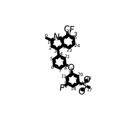 Cc1cc(-c2cccc(Oc3cc(F)cc(S(C)(=O)=O)c3)c2)c2cccc(C(F)(F)F)c2n1